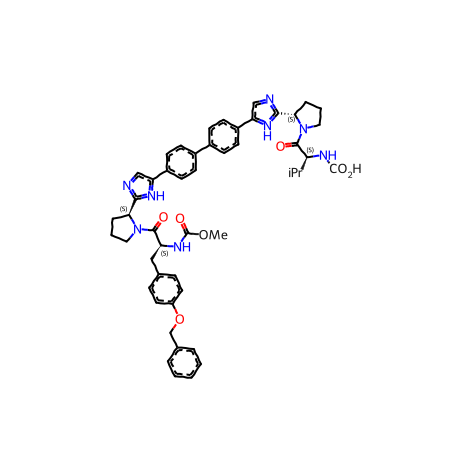 COC(=O)N[C@@H](Cc1ccc(OCc2ccccc2)cc1)C(=O)N1CCC[C@H]1c1ncc(-c2ccc(-c3ccc(-c4cnc([C@@H]5CCCN5C(=O)[C@@H](NC(=O)O)C(C)C)[nH]4)cc3)cc2)[nH]1